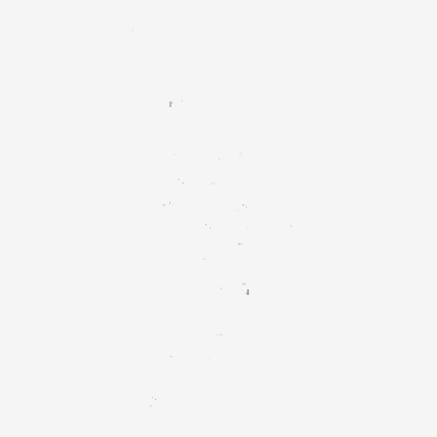 COCCNC(=O)c1cn2ncnc(Nc3cc(NC(=O)c4ccc(C#N)cc4)ccc3C)c2c1C